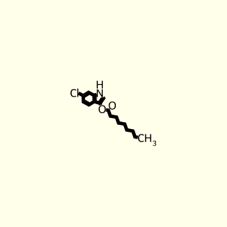 CCCCCCCCC(=O)Oc1c[nH]c2cc(Cl)ccc12